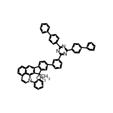 CC1(C)c2cc(-c3cccc(-c4nc(-c5ccc(-c6ccccc6)cc5)nc(-c5ccc(-c6ccccc6)cc5)n4)c3)ccc2-c2cc3cccc4c3c(c21)N(c1ccccc1)C=C4